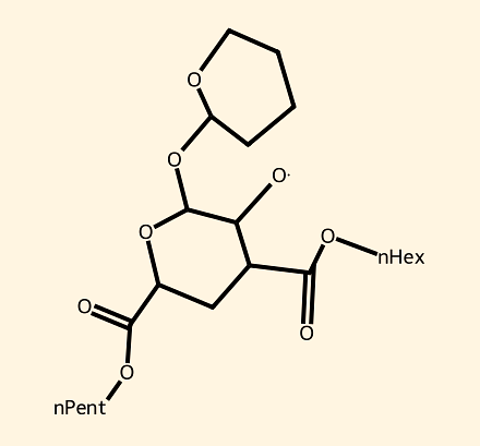 CCCCCCOC(=O)C1CC(C(=O)OCCCCC)OC(OC2CCCCO2)C1[O]